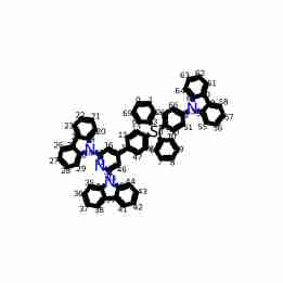 c1ccc([Si](c2ccccc2)(c2ccc(-c3cc(-n4c5ccccc5c5ccccc54)nc(-n4c5ccccc5c5ccccc54)c3)cc2)c2ccc(-n3c4ccccc4c4ccccc43)cc2)cc1